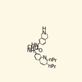 CCCC1=Nc2cc(C3(C(=O)Nc4ccc5c(c4)CNCC5)CC3)ccc2C=CC1CCC.NC=O